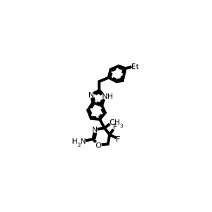 CCc1ccc(Cc2nc3ccc(C4(C)N=C(N)OCC4(F)F)cc3[nH]2)cc1